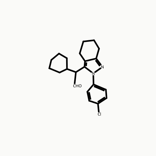 O=CC(c1c2c(nn1-c1ccc(Cl)cc1)CCCC2)C1CCCCC1